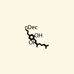 CCCCCCCCCCCCCc1cc(O)c(CC=C(C)CCC=C(C)C)c(O)c1